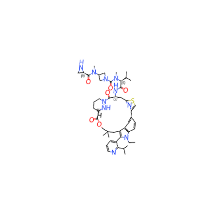 CCn1c(-c2cccnc2C(C)C)c2c3cc(ccc31)-c1csc(n1)C[C@H](NC(=O)[C@H](C(C)C)N(C)C(=O)N1CC(N(C)C(=O)[C@H]3CN3)C1)C(=O)N1CCC[C@H](N1)C(=O)OCC(C)(C)C2